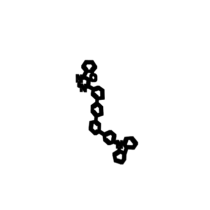 c1cc(-c2ccc(-c3cccc(-c4ncnc5c4oc4ccccc45)c3)cc2)cc(-c2ccc(-n3c4ccccc4c4ccccc43)cc2)c1